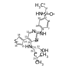 CCS(=N)(=O)c1ccc(Nc2ncc(-c3ccsc3)c(N[C@H](CO)CC(C)C)n2)cc1